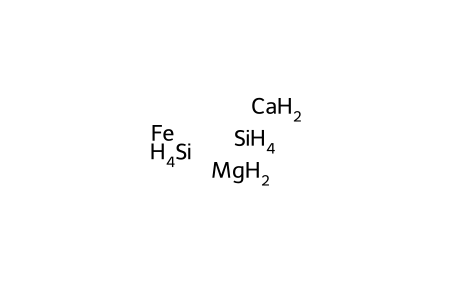 [CaH2].[Fe].[MgH2].[SiH4].[SiH4]